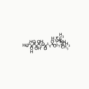 CC1(C)CC(OC(=O)CCC(=O)OCC(O)C(O)C(O)C(O)CO)CC(C)(C)N1